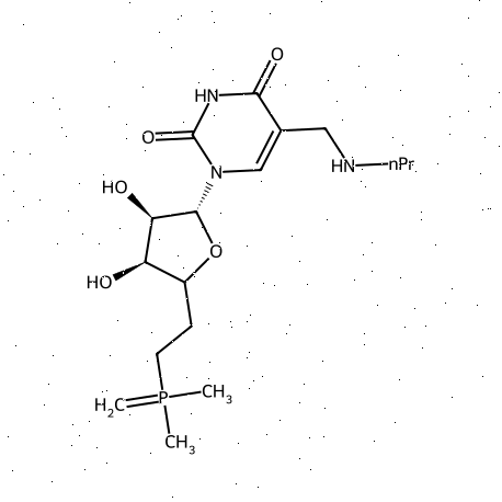 C=P(C)(C)CCC1O[C@@H](n2cc(CNCCC)c(=O)[nH]c2=O)[C@H](O)[C@@H]1O